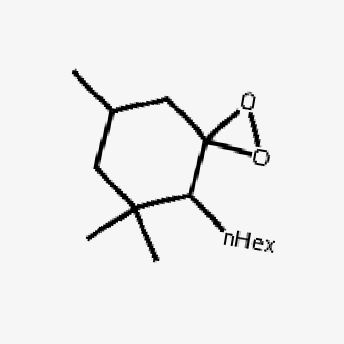 CCCCCCC1C(C)(C)CC(C)CC12OO2